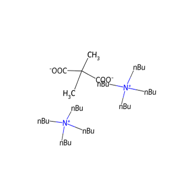 CC(C)(C(=O)[O-])C(=O)[O-].CCCC[N+](CCCC)(CCCC)CCCC.CCCC[N+](CCCC)(CCCC)CCCC